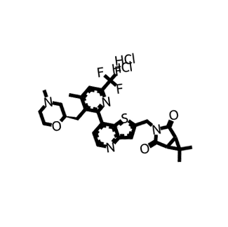 Cc1cc(C(F)(F)F)nc(-c2ccnc3cc(CN4C(=O)C5C(C4=O)C5(C)C)sc23)c1C[C@@H]1CN(C)CCO1.Cl.Cl